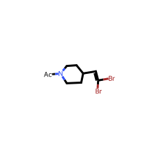 CC(=O)N1CCC(C=C(Br)Br)CC1